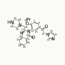 CC(C)Oc1ccc(C(=O)Cn2ccnc2)cc1-n1c(CN2CCNCC2)nc2ccccc2c1=O